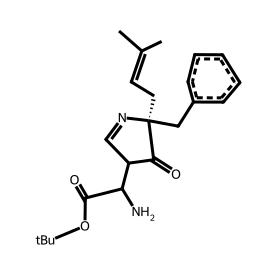 CC(C)=CC[C@@]1(Cc2ccccc2)N=CC(C(N)C(=O)OC(C)(C)C)C1=O